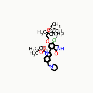 CC[Si](CC)(CC)OC(C)(C)CCOc1cc(-c2cc3cc(CN4CCCCC4)ccc3n2C(=O)OC(C)(C)C)c2c(c1Cl)CNC2=O